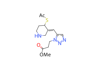 COC(=O)CCn1nncc1C=C1CNCCC1SC(C)=O